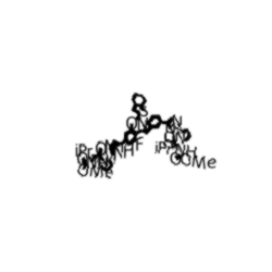 COC(=O)N[C@H](C(=O)N1CCC[C@H]1c1ncc(-c2cc(F)c3c(c2)OC(c2cc4c(s2)CCCC4)n2c-3cc3cc(-c4cnc([C@@H]5CCCN5C(=O)[C@@H](NC(=O)OC)C(C)C)[nH]4)ccc32)[nH]1)C(C)C